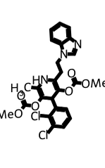 COC(=O)OC1=C(C)NC(CCn2cnc3ccccc32)=C(OC(=O)OC)C1c1cccc(Cl)c1Cl